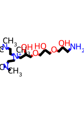 CN(C)CC[N+](C)(CCN(C)C)CC(O)COCC(O)COCC(O)CN